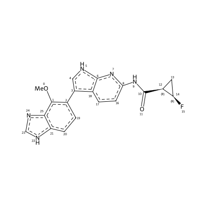 COc1c(-c2c[nH]c3nc(NC(=O)[C@H]4C[C@H]4F)ccc23)ccc2[nH]cnc12